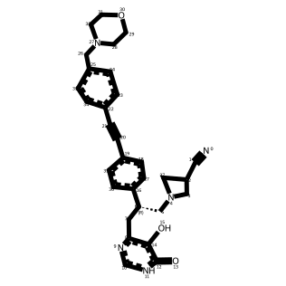 N#CC1CN(C[C@H](Cc2nc[nH]c(=O)c2O)c2ccc(C#Cc3ccc(CN4CCOCC4)cc3)cc2)C1